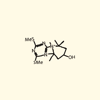 CSc1nc(SC)nc([N+]2(C)C(C)(C)CC(O)CC2(C)C)n1